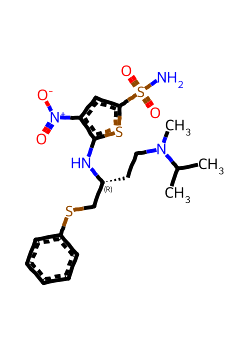 CC(C)N(C)CC[C@H](CSc1ccccc1)Nc1sc(S(N)(=O)=O)cc1[N+](=O)[O-]